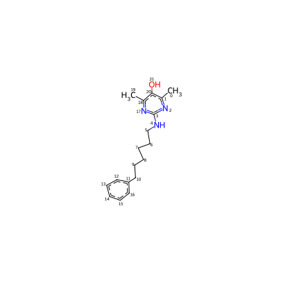 Cc1nc(NCCCCCCc2ccccc2)nc(C)c1O